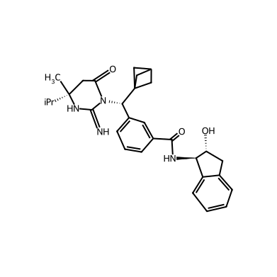 CC(C)[C@]1(C)CC(=O)N([C@@H](c2cccc(C(=O)N[C@@H]3c4ccccc4C[C@H]3O)c2)C23CC(C2)C3)C(=N)N1